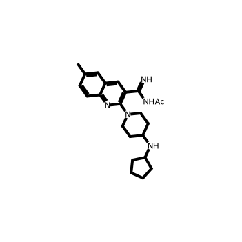 CC(=O)NC(=N)c1cc2cc(C)ccc2nc1N1CCC(NC2CCCC2)CC1